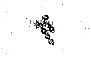 CCc1cc(Nc2nc(NC3CC4(CCOCC4)C3)c(-c3ccccn3)nc2C(N)=O)ccc1N1CCC(N2CCN(C)CC2)CC1